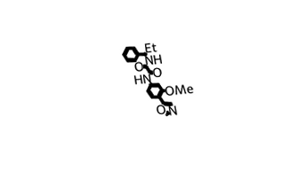 CCC(NC(=O)C(=O)Nc1ccc(-c2cnco2)c(OC)c1)c1ccccc1